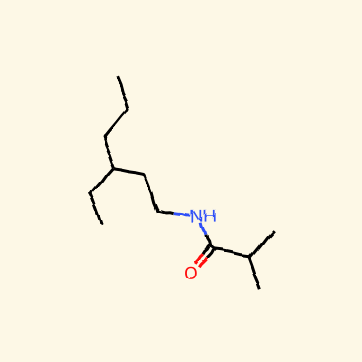 CCCC(CC)CCNC(=O)C(C)C